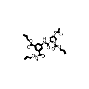 C=CCOC(=O)c1cc(NC(=O)[C@@H]2C[C@H](SC(C)=O)CN2C(=O)OCC=C)cc(C(=O)N(C)OCC=C)c1